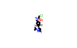 CC(C)n1nc(I)cc1[C@H]1[C@@H]2CC(O)(CN(C)C(=O)CCl)C[C@@H]21